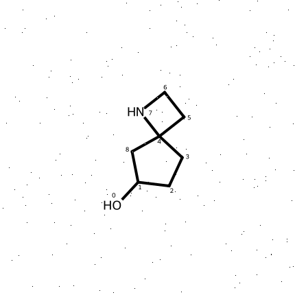 OC1CCC2(CCN2)C1